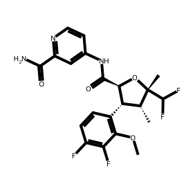 COc1c([C@@H]2[C@@H](C(=O)Nc3ccnc(C(N)=O)c3)O[C@](C)(C(F)F)[C@@H]2C)ccc(F)c1F